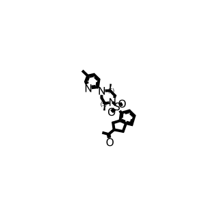 CC(=O)C1Cc2cccc(S(=O)(=O)N3C[C@H](C)N(c4ccc(C)cn4)C[C@@H]3C)c2C1